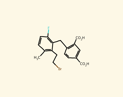 Cc1ccc(F)c(Cc2ccc(C(=O)O)cc2C(=O)O)c1CCBr